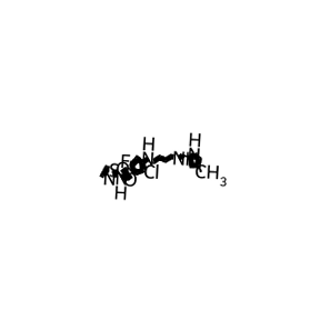 C[C@@H]1CN[C@H](CNCCCCNc2cc(F)c(S(=O)(=O)Nc3nccs3)cc2Cl)C1